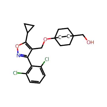 OCC12CCC(OCc3c(-c4c(Cl)cccc4Cl)noc3C3CC3)(CC1)CC2